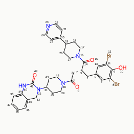 O=C(C[C@@H](Cc1cc(Br)c(O)c(Br)c1)C(=O)N1CCC(c2ccncc2)CC1)N1CCC(N2Cc3ccccc3NC2=O)CC1